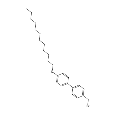 CCCCCCCCCCCCOc1ccc(-c2ccc(CBr)cc2)cc1